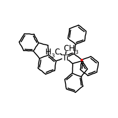 [CH3][Ti]([CH3])(=[C](c1ccccc1)c1ccccc1)([c]1cccc2c1Cc1ccccc1-2)[CH]1C=Cc2ccccc21